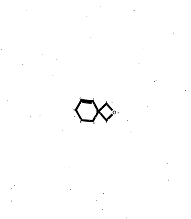 C1=CC2(CCC1)COC2